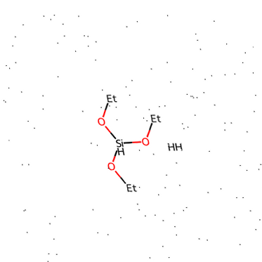 CCO[SiH](OCC)OCC.[HH]